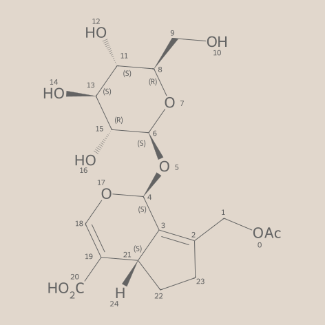 CC(=O)OCC1=C2[C@H](O[C@@H]3O[C@H](CO)[C@@H](O)[C@H](O)[C@H]3O)OC=C(C(=O)O)[C@H]2CC1